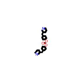 O=C(Oc1ccc(Cc2cccnc2)cc1)Oc1ccc(Cc2cccnc2)cc1